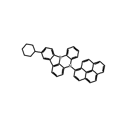 c1ccc2c(c1)B1c3ccc(C4CCCCC4)cc3-c3cccc(c31)N2c1ccc2ccc3cccc4ccc1c2c34